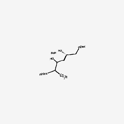 CCCCCCCCCCC[C@@H](O)CC(O)C(CCCCCC)C(=O)O.[NaH]